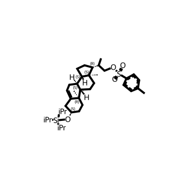 Cc1ccc(S(=O)(=O)OCC(C)[C@H]2CC[C@H]3[C@@H]4CC=C5C[C@@H](O[Si](C(C)C)(C(C)C)C(C)C)CC[C@]5(C)[C@H]4CC[C@]23C)cc1